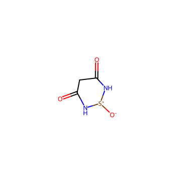 O=C1CC(=O)N[S+]([O-])N1